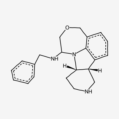 c1ccc(CNC2COCc3cccc4c3N2[C@H]2CCNC[C@@H]42)cc1